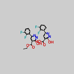 CCOC(=O)c1cc(-c2cccc(F)c2F)nnc1O.O=C(O)c1cc(-c2cccc(F)c2F)nnc1O